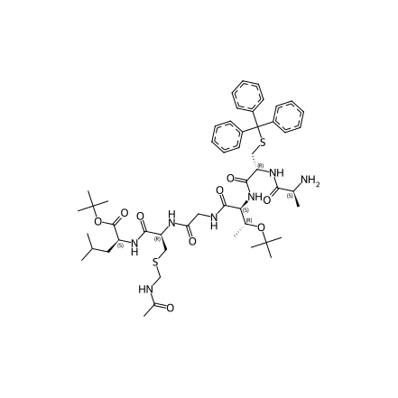 CC(=O)NCSC[C@H](NC(=O)CNC(=O)[C@@H](NC(=O)[C@H](CSC(c1ccccc1)(c1ccccc1)c1ccccc1)NC(=O)[C@H](C)N)[C@@H](C)OC(C)(C)C)C(=O)N[C@@H](CC(C)C)C(=O)OC(C)(C)C